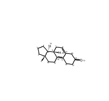 C[C@@]12CCC[C@H]1[C@@H]1CC=C3CC(=O)CCC3=C1CC2